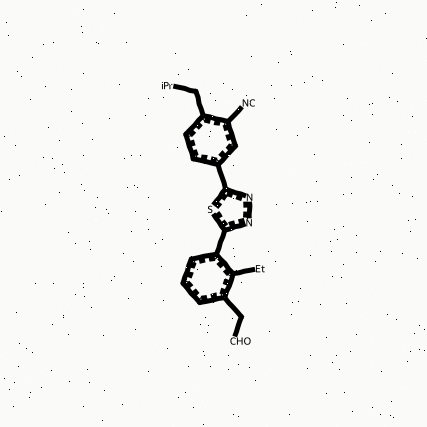 [C-]#[N+]c1cc(-c2nnc(-c3cccc(CC=O)c3CC)s2)ccc1CC(C)C